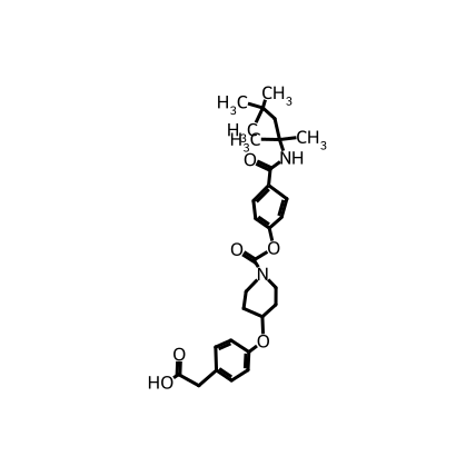 CC(C)(C)CC(C)(C)NC(=O)c1ccc(OC(=O)N2CCC(Oc3ccc(CC(=O)O)cc3)CC2)cc1